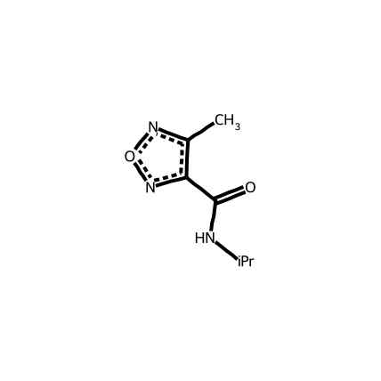 Cc1nonc1C(=O)NC(C)C